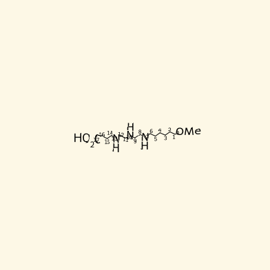 COCCCCCCNCCNCCNCCCC(=O)O